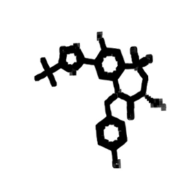 CC(C)(C)c1nc(-c2cc3c(cc2F)S(=O)(=O)C[C@H](N)C(=O)N3Cc2ccc(Cl)cc2)no1